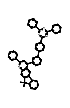 CC1(C)c2ccccc2-c2cc3c(-c4cccc(-c5ccc(-c6nc(-c7ccccc7)nc(-c7ccccc7)n6)cc5)c4)cc(-c4ccccc4)nc3cc21